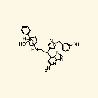 Nc1cc(C(CCNC23CCC(c4ccccc4)(CC2)[C@@H](O)C3)c2cnn(Cc3cccc(O)c3)c2)c2nn[nH]c2n1